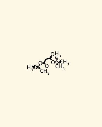 C[SiH](C)OC(=O)CC(=O)O[Si](C)(C)C